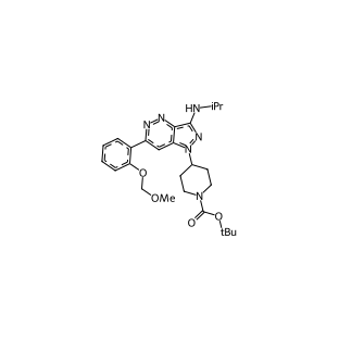 COCOc1ccccc1-c1cc2c(nn1)c(NC(C)C)nn2C1CCN(C(=O)OC(C)(C)C)CC1